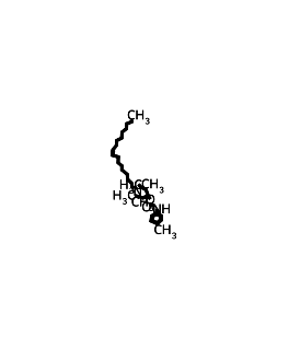 CCCCCCCC/C=C\CCCCCCCCN1C(C)(C)CC(OC(=O)Nc2ccc(C)cc2)CC1(C)C